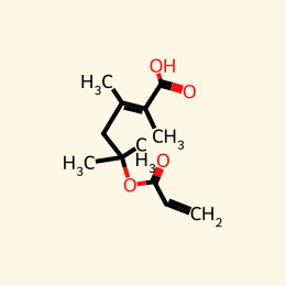 C=CC(=O)OC(C)(C)CC(C)=C(C)C(=O)O